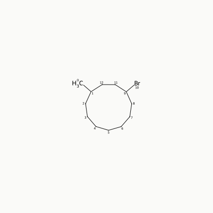 CC1CCCCCCCC(Br)CC1